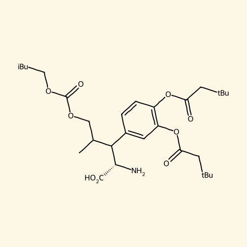 CCC(C)COC(=O)OCC(C)C(c1ccc(OC(=O)CC(C)(C)C)c(OC(=O)CC(C)(C)C)c1)[C@H](N)C(=O)O